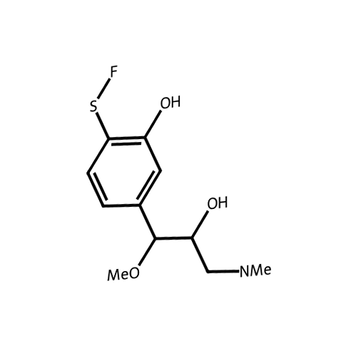 CNCC(O)C(OC)c1ccc(SF)c(O)c1